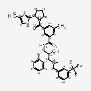 Cc1cc(C(=O)N[C@@H](Cc2ccccc2)[C@@H](O)CNCc2cccc(C(F)(F)F)c2)cc(C(=O)N2CCC[C@@H]2c2nc(C)cs2)c1